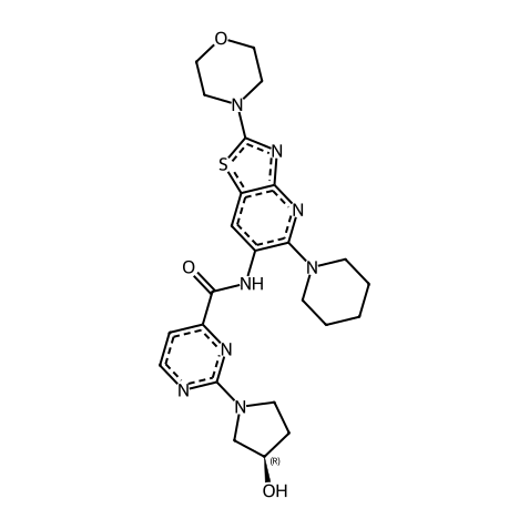 O=C(Nc1cc2sc(N3CCOCC3)nc2nc1N1CCCCC1)c1ccnc(N2CC[C@@H](O)C2)n1